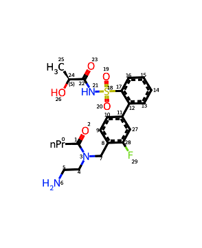 CCCC(=O)N(CCN)Cc1ccc(-c2ccccc2S(=O)(=O)NC(=O)[C@H](C)O)cc1F